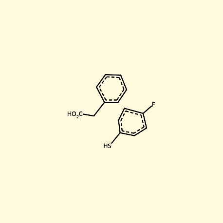 Fc1ccc(S)cc1.O=C(O)Cc1ccccc1